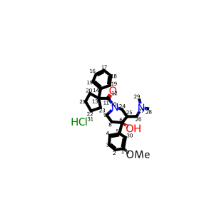 COc1cccc(C2(O)CCN(C(=O)C3(c4ccccc4)CCCC3)CC2CN(C)C)c1.Cl